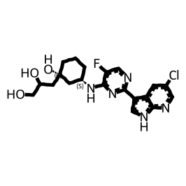 OCC(O)C[C@@]1(O)CCC[C@H](Nc2nc(-c3c[nH]c4ncc(Cl)cc34)ncc2F)C1